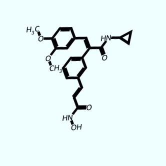 COc1ccc(/C=C(/C(=O)NC2CC2)c2cccc(/C=C/C(=O)NO)c2)cc1OC